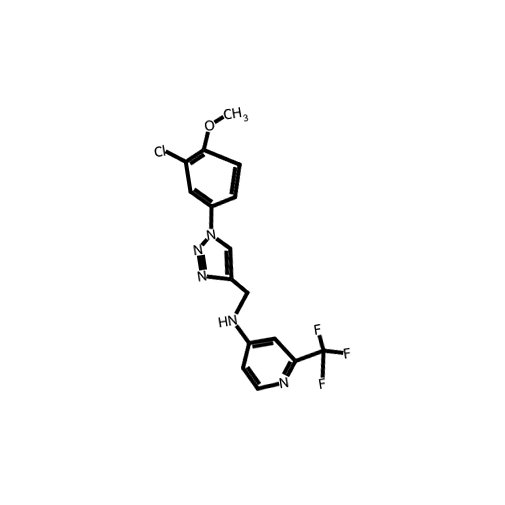 COc1ccc(-n2cc(CNc3ccnc(C(F)(F)F)c3)nn2)cc1Cl